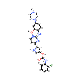 COc1cc(N2CCN(C)CC2)ccc1Nc1nccc(-c2cc(OC(=O)Nc3c(C)cccc3Cl)cn2C)n1